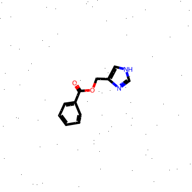 O=C(OCc1c[nH]cn1)c1ccccc1